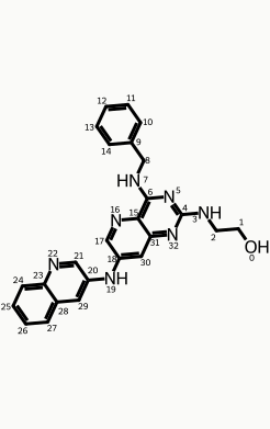 OCCNc1nc(NCc2ccccc2)c2ncc(Nc3cnc4ccccc4c3)cc2n1